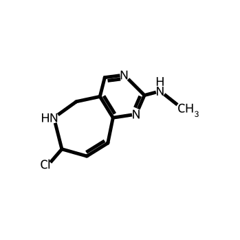 CNc1ncc2c(n1)C=CC(Cl)NC2